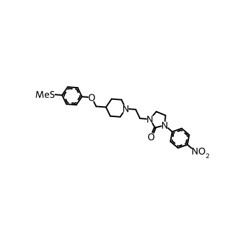 CSc1ccc(OCC2CCN(CCN3CCN(c4ccc([N+](=O)[O-])cc4)C3=O)CC2)cc1